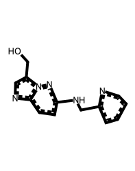 OCc1cnc2ccc(NCc3ccccn3)nn12